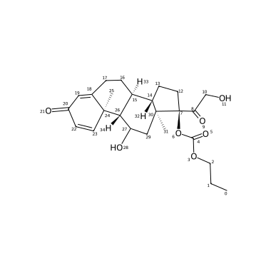 CCCOC(=O)O[C@]1(C(=O)CO)CC[C@H]2[C@@H]3CCC4=CC(=O)C=C[C@]4(C)[C@H]3C(O)C[C@@]21C